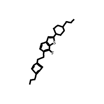 CCCc1ccc(CCc2ccc3cc(C4CCC(CCC)CC4)sc3c2F)cc1